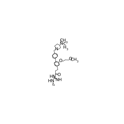 COCCCOc1cc(CCC(=O)NC(=N)NC2CC2)ccc1-c1ccc(CN2CCC(N(C)C)CC2)cc1